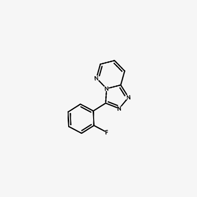 Fc1ccccc1-c1nnc2cccnn12